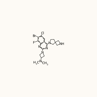 CN(C)C1CN(c2nc(N3CCC4(CNC4)C3)c3cc(Cl)c(Br)c(F)c3n2)C1